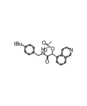 CC(C)(C)c1ccc(CNC(=O)C(OS(C)(=O)=O)c2cccc3cnccc23)cc1